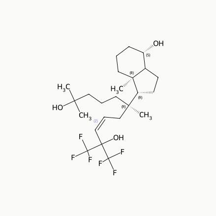 CC(C)(O)CCC[C@](C)(C/C=C\C(O)(C(F)(F)F)C(F)(F)F)[C@H]1CCC2[C@@H](O)CCC[C@@]21C